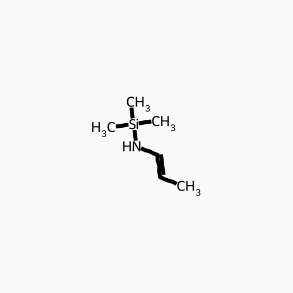 CC=CN[Si](C)(C)C